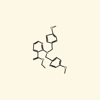 C=C(OCC)c1cccnc1N(Cc1ccc(OC)cc1)Cc1ccc(OC)cc1